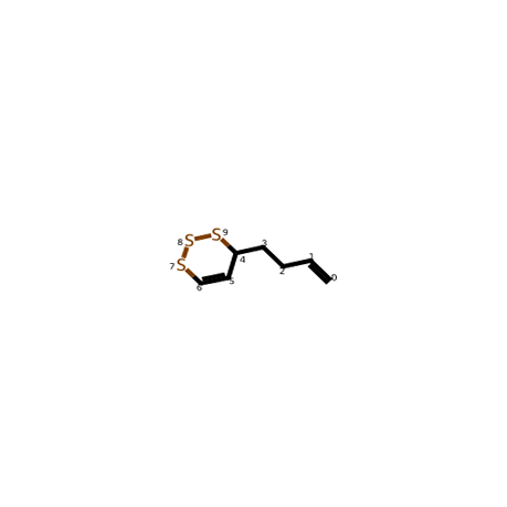 C=CCCC1C=CSSS1